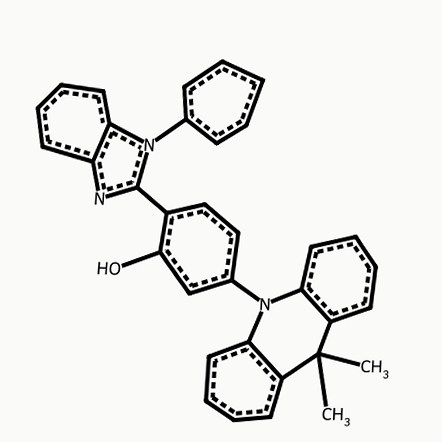 CC1(C)c2ccccc2N(c2ccc(-c3nc4ccccc4n3-c3ccccc3)c(O)c2)c2ccccc21